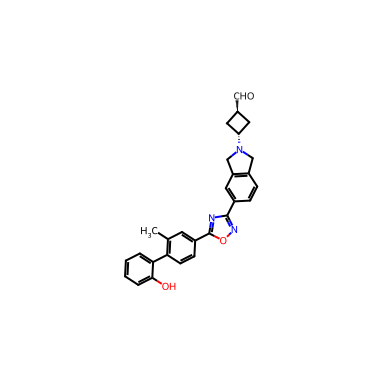 Cc1cc(-c2nc(-c3ccc4c(c3)CN([C@H]3C[C@H](C=O)C3)C4)no2)ccc1-c1ccccc1O